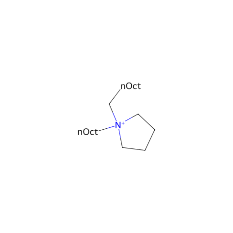 CCCCCCCCC[N+]1(CCCCCCCC)CCCC1